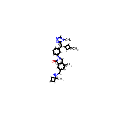 CC1CC([C@H](c2cccc(N3Cc4c(cc(CNC5(C)CCC5)cc4C(F)(F)F)C3=O)c2)c2nncn2C)C1